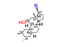 C[C@H]1C[C@@H]2CC[C@@H]3[C@H]([C@@H](O)C[C@]4(C)[C@@H](C#N)CC[C@@H]34)[C@@]2(C)C[C@@H]1C